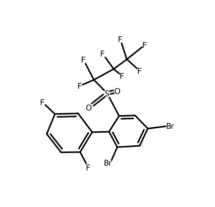 O=S(=O)(c1cc(Br)[c]c(Br)c1-c1cc(F)ccc1F)C(F)(F)C(F)(F)C(F)(F)F